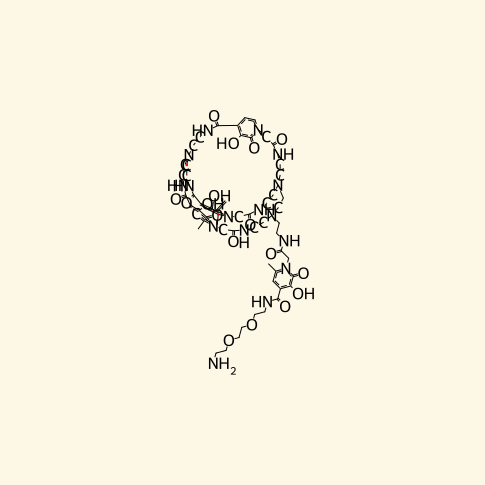 C=C1C(O)=C2C=C(C)N1CC(=O)NCCN1CCNC(=O)Cn3ccc(c(O)c3=O)C(=O)NCCN(CCNC2=O)CCNC(=O)c2cc(C)n(c(=O)c2O)CC(=O)NCCN(CCNC(=O)Cn2c(C)cc(C(=O)NCCOCCOCCN)c(O)c2=O)CC1